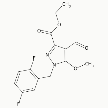 CCOC(=O)c1nn(Cc2cc(F)ccc2F)c(OC)c1C=O